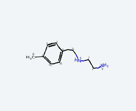 Cc1ccc(CNCCN)cc1